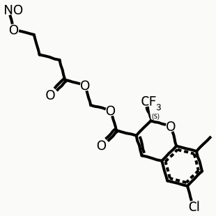 Cc1cc(Cl)cc2c1O[C@H](C(F)(F)F)C(C(=O)OCOC(=O)CCCON=O)=C2